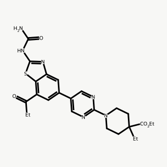 CCOC(=O)C1(CC)CCN(c2ncc(-c3cc(C(=O)CC)c4sc(NC(N)=O)nc4c3)cn2)CC1